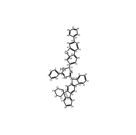 c1ccc(C2=NC(n3c4ccccc4c4cc5c(cc43)C3(CCCCC3)c3ccccc3-5)=NC(c3ccc4c(c3)oc3cc(-c5ccccc5)ccc34)N2)cc1